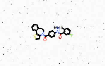 CSc1ccc(F)cc1C(=O)Nc1ccc(C(=O)N2CCc3ccccc3-c3sccc32)cc1